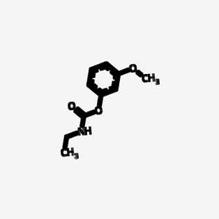 CCNC(=O)Oc1cccc(OC)c1